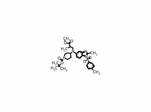 COC(=O)C(C)CN(c1ccc2c(c1)nc(C)n2S(=O)(=O)c1ccc(C)cc1)C1CCN(C(=O)OC(C)(C)C)CC1